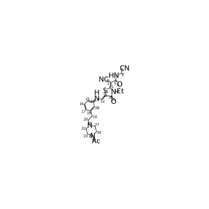 CCn1c(=C(C#N)C(=O)NCC#N)sc(=CNc2cccc(CCN3CCN(C(C)=O)CC3)c2)c1=O